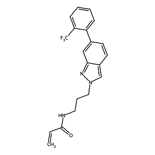 C=CC(=O)NCCCn1cc2ccc(-c3ccccc3C(F)(F)F)cc2n1